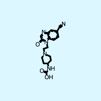 N#Cc1ccc2c(c1)ncc(=O)n2CCN1CCC(NC(=O)O)CC1